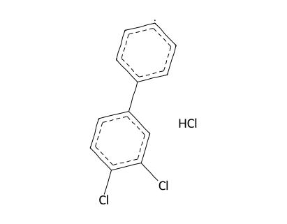 Cl.Clc1ccc(-c2cc[c]cc2)cc1Cl